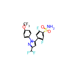 NS(=O)(=O)c1cc(F)c(-c2cc(C(F)F)nn2-c2ccc(OC(F)(F)F)cc2)cc1F